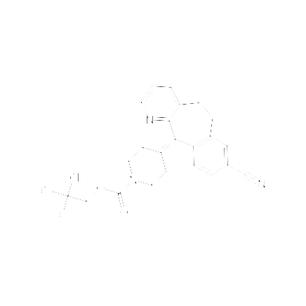 N#Cc1ccc2c(c1)CCc1cccnc1C2=C1CCN(C(=O)OCC(Cl)(Cl)Cl)CC1